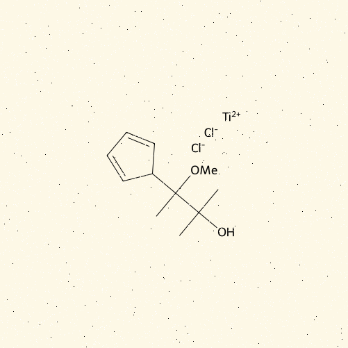 COC(C)(C1C=CC=C1)C(C)(C)O.[Cl-].[Cl-].[Ti+2]